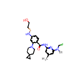 CCN(CF)c1cc(C)cc(NC(=O)c2ccc(NSCCO)cc2N2CCC3(CC2)CC3)n1